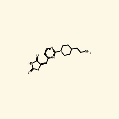 NCCC1CCN(c2nccc(C=C3SC(=O)NC3=O)n2)CC1